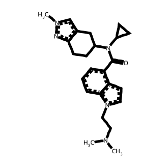 CN(C)CCn1ccc2c(C(=O)N(C3CC3)C3CCc4nn(C)cc4C3)cccc21